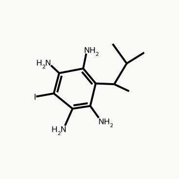 CC(C)C(C)c1c(N)c(N)c(I)c(N)c1N